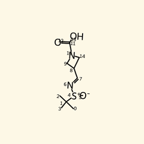 CC(C)(C)[S+]([O-])/N=C/C1CN(C(=O)O)C1